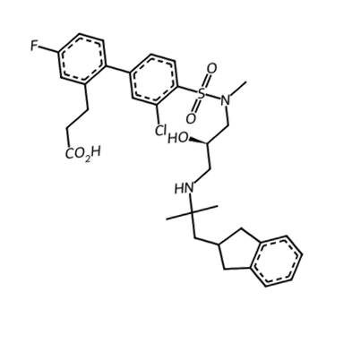 CN(C[C@H](O)CNC(C)(C)CC1Cc2ccccc2C1)S(=O)(=O)c1ccc(-c2ccc(F)cc2CCC(=O)O)cc1Cl